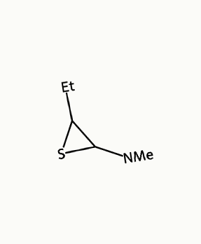 CCC1SC1NC